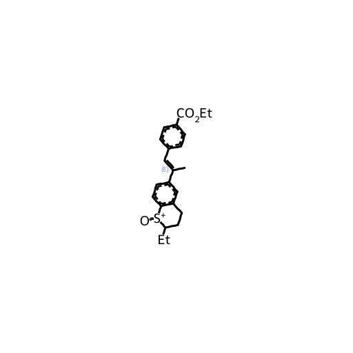 CCOC(=O)c1ccc(/C=C(\C)c2ccc3c(c2)CCC(CC)[S+]3[O-])cc1